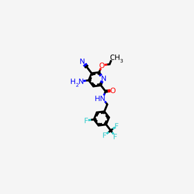 CCOc1nc(C(=O)NCc2cc(F)cc(C(F)(F)F)c2)cc(N)c1C#N